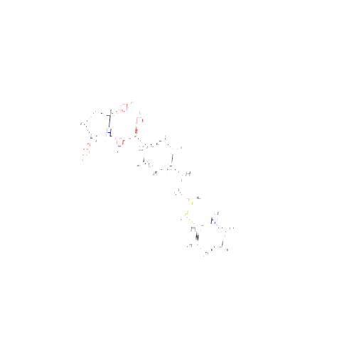 O=C(ON1C(=O)CCC1=O)c1ccc(CCSSc2ccccn2)cc1